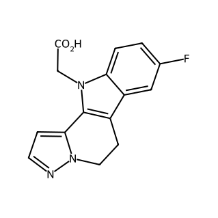 O=C(O)Cn1c2c(c3cc(F)ccc31)CCn1nccc1-2